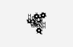 Cc1cccc(NC(=O)NC2N=C(c3ccccc3)c3ccccc3N(C(C(=O)OC(C)(C)C)C(=O)[C@H]3CCCN3)C2=O)c1